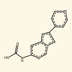 O=C(O)Nc1cc2cc(-c3ccncc3)cn2cn1